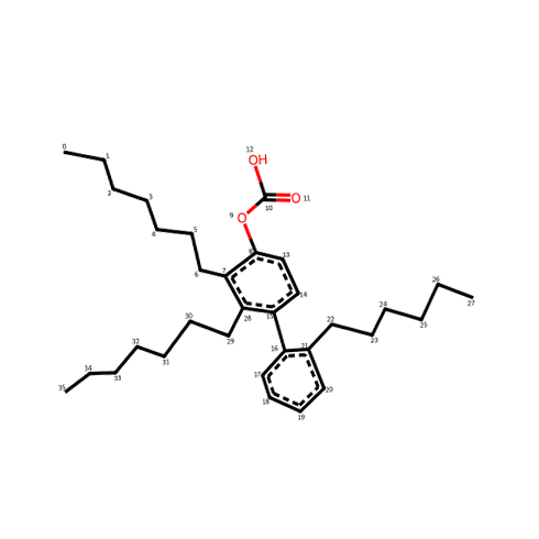 CCCCCCCc1c(OC(=O)O)ccc(-c2ccccc2CCCCCC)c1CCCCCCC